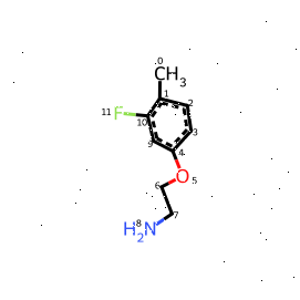 Cc1ccc(OCCN)cc1F